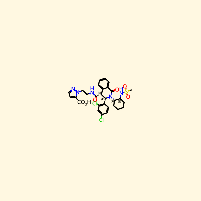 CS(=O)(=O)N[C@H]1CCCC[C@@H]1N1C(=O)c2ccccc2[C@@H](C(=O)NCCn2nccc2C(=O)O)[C@@H]1c1ccc(Cl)cc1Cl